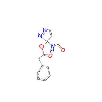 O=CNC1(OC(=O)Cc2ccccc2)C=CN=N1